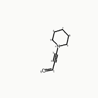 O=CC#CN1CCCCC1